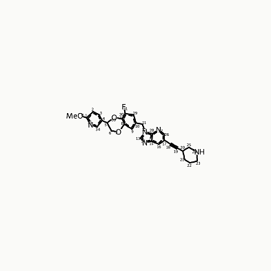 COc1ccc(C2COc3cc(Cn4cnc5cc(C#CC6CCCNC6)cnc54)cc(F)c3O2)cn1